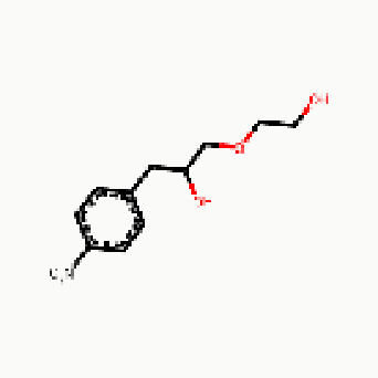 O=[N+]([O-])c1ccc(CC(O)COCCO)cc1